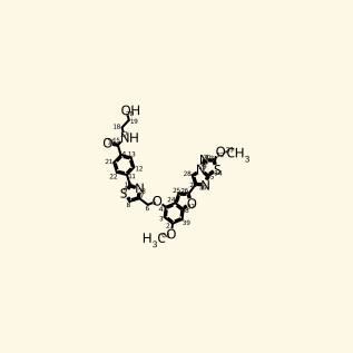 COc1cc(OCc2csc(-c3ccc(C(=O)NCCO)cc3)n2)c2cc(-c3cn4nc(OC)sc4n3)oc2c1